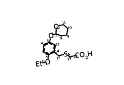 CCOc1ccc(OC2CCCCO2)cc1CSCC(=O)O